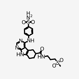 CS(=O)(=O)CCCNC(=O)C1CCc2[nH]c3ncnc(Nc4ccc(S(N)(=O)=O)cc4)c3c2C1